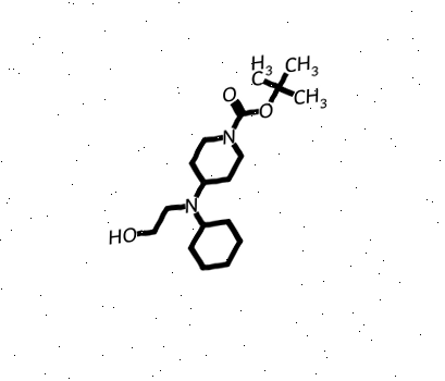 CC(C)(C)OC(=O)N1CCC(N(CCO)C2CCCCC2)CC1